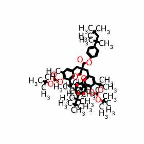 Cc1cc(CC(Cc2cc(C(C)(C)C)c(OC(=O)OC(C)(C)C)c(C(C)(C)C)c2)(C(=O)Oc2ccc(C(C)(C)CC(C)(C)C)cc2)C(=O)Oc2ccc(C(C)(C)C(C)(C)C)cc2)cc(C(C)(C)C)c1OC(=O)OC(C)(C)C